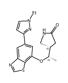 CCn1ccc(-c2cc(O[C@@H](C)[C@@H]3CNC(=O)C3)c3scnc3c2)n1